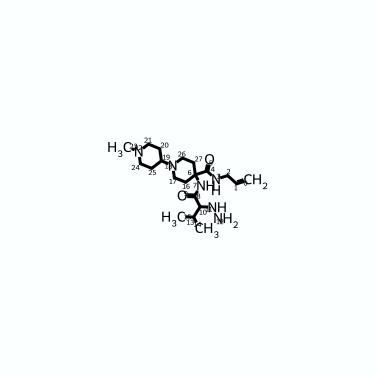 C=CCNC(=O)C1(NC(=O)C(NN)C(C)C)CCN(C2CCN(C)CC2)CC1